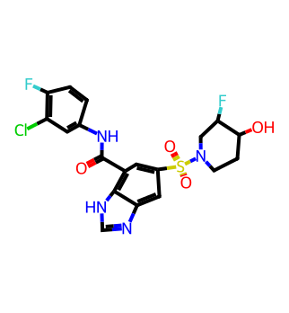 O=C(Nc1ccc(F)c(Cl)c1)c1cc(S(=O)(=O)N2CCC(O)C(F)C2)cc2nc[nH]c12